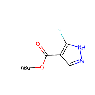 CCCCOC(=O)c1cn[nH]c1F